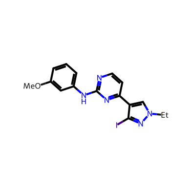 CCn1cc(-c2ccnc(Nc3cccc(OC)c3)n2)c(I)n1